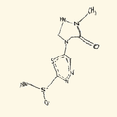 CCCC[S+]([O-])c1nnc(N2CNN(C)C2=O)s1